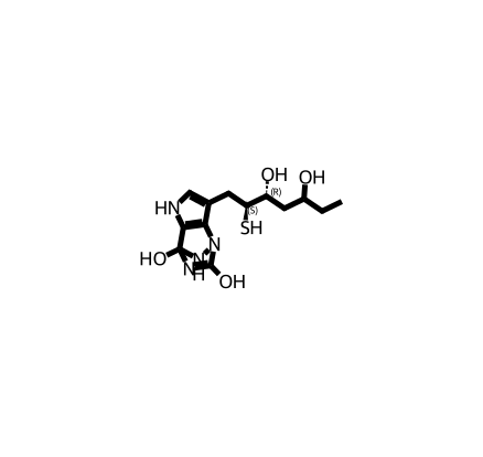 CCC(O)C[C@@H](O)[C@@H](S)Cc1c[nH]c2c1N1NC2(O)N=C1O